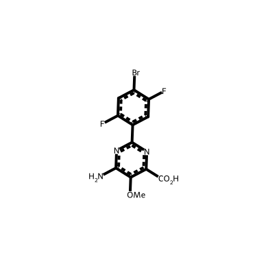 COc1c(N)nc(-c2cc(F)c(Br)cc2F)nc1C(=O)O